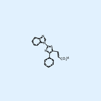 O=C(O)C=Cc1sc(-n2cnc3ccccc32)nc1-c1ccccc1